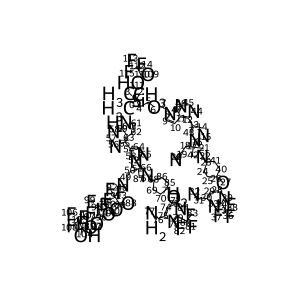 C[Si](C)(C)CCOCn1ccc2c(-c3cnn(C4(CC#N)CN([C@H]5CC[C@H](Oc6cc(CN)nc(C(F)(F)F)n6)CC5)C4)c3)ncnc21.N#CCC1(n2cc(-c3ncnc4[nH]ccc34)cn2)CN([C@H]2CC[C@@H](Oc3cc(CN)nc(C(F)(F)F)n3)CC2)C1.O=C(O)C(F)(F)F.O=C(O)C(F)(F)F.O=C(O)C(F)(F)F.O=C(O)C(F)(F)F